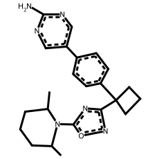 CC1CCCC(C)N1c1nc(C2(c3ccc(-c4cnc(N)nc4)cc3)CCC2)no1